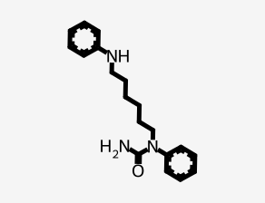 NC(=O)N(CCCCCCNc1ccccc1)c1ccccc1